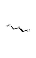 CCC=NCCCC